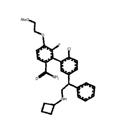 COCCOc1ccc(C(N)=O)c(-c2cc(C(CNC3CCC3)c3ccccc3)ccc2Cl)c1F